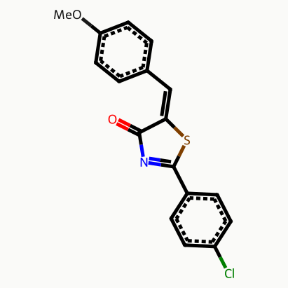 COc1ccc(C=C2SC(c3ccc(Cl)cc3)=NC2=O)cc1